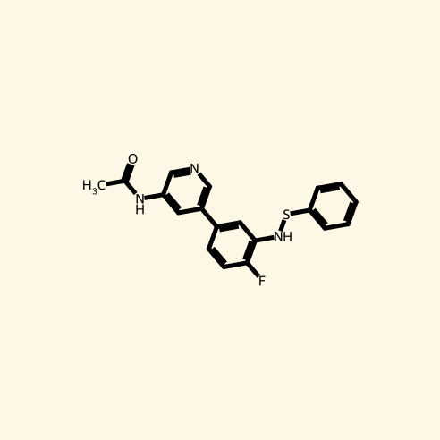 CC(=O)Nc1cncc(-c2ccc(F)c(NSc3ccccc3)c2)c1